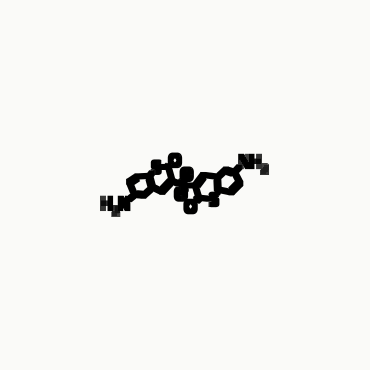 Nc1ccc2sc(=O)c(S(=O)(=O)c3cc4cc(N)ccc4sc3=O)cc2c1